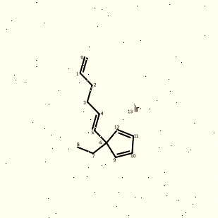 C=CCCC=CC1(CC)C=CC=C1.[Ir]